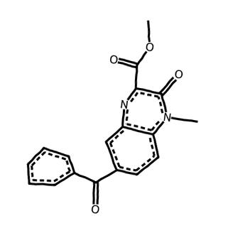 COC(=O)c1nc2cc(C(=O)c3ccccc3)ccc2n(C)c1=O